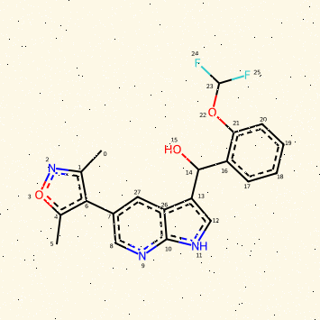 Cc1noc(C)c1-c1cnc2[nH]cc(C(O)c3ccccc3OC(F)F)c2c1